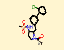 CC(C)C(=O)N1CCC(NS(C)(=O)=O)C1Cc1cccc(-c2ccccc2Cl)c1